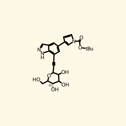 CC(C)(C)OC(=O)n1ccc(-c2cc(C#CC3OC(CO)[C@@H](O)C(O)C3O)c3[nH]ncc3c2)c1